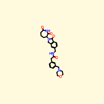 O=C(Cc1cccc(CN2CCOCC2)c1)NCc1ccc2c(c1)CN(C1CCCC(=O)NC1=O)C2=O